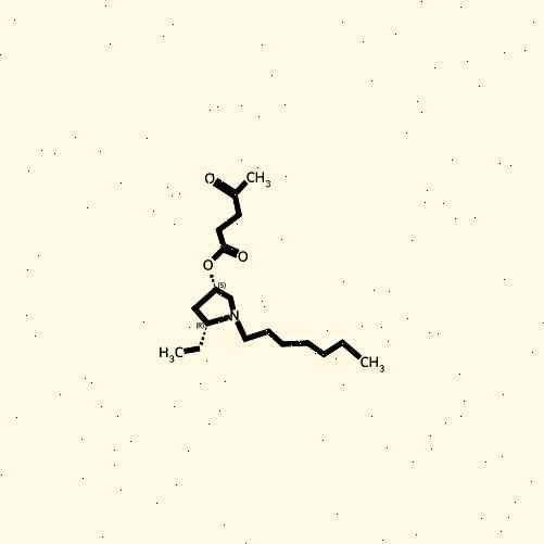 CCCCCCCN1C[C@@H](OC(=O)CCC(C)=O)C[C@H]1CC